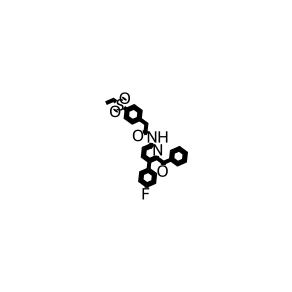 CCS(=O)(=O)c1ccc(CC(=O)Nc2ccc(-c3ccc(F)cc3)c(C(=O)c3ccccc3)n2)cc1